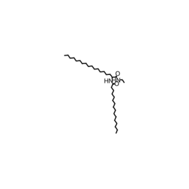 CCCCCCCCCCCCCCCCC(NC(=O)CCCCCCCCCCCCCCC)C(=O)NCC